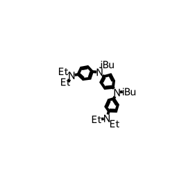 CCC(C)N(c1ccc(N(CC)CC)cc1)c1ccc(N(c2ccc(N(CC)CC)cc2)C(C)CC)cc1